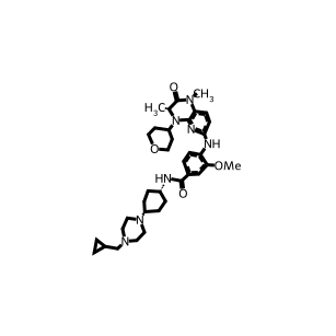 COc1cc(C(=O)N[C@H]2CC[C@H](N3CCN(CC4CC4)CC3)CC2)ccc1Nc1ccc2c(n1)N(C1CCOCC1)[C@H](C)C(=O)N2C